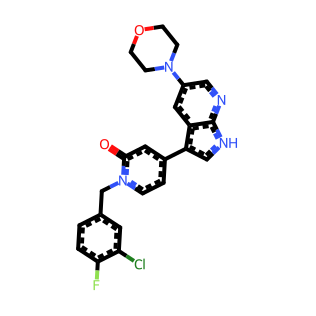 O=c1cc(-c2c[nH]c3ncc(N4CCOCC4)cc23)ccn1Cc1ccc(F)c(Cl)c1